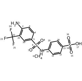 C.Nc1ccc(S(=O)(=O)Nc2ccc(S(=O)(=O)O)cc2)cc1C(F)(F)F